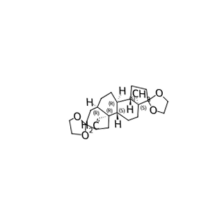 C=C[C@]12CCC3(C[C@H]1CC[C@@H]1[C@@H]2CC[C@@]2(C)[C@H]1CCC21OCCO1)OCCO3